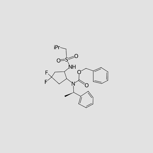 CC(C)CS(=O)(=O)NC1CC(F)(F)CC1N(C(=O)OCc1ccccc1)[C@H](C)c1ccccc1